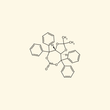 CC1(C)O[C@@H]2[C@@H](O1)C(c1ccccc1)(c1ccccc1)O[PH](=O)OC2(c1ccccc1)c1ccccc1